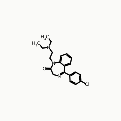 CCN(CC)CCN1C(=O)CN=C(c2ccc(Cl)cc2)c2ccccc21